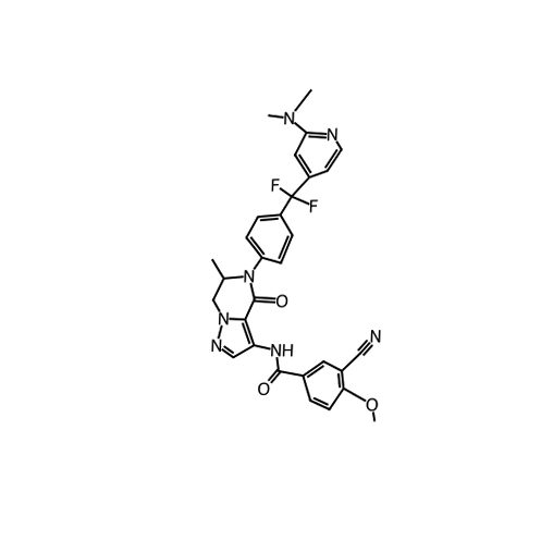 COc1ccc(C(=O)Nc2cnn3c2C(=O)N(c2ccc(C(F)(F)c4ccnc(N(C)C)c4)cc2)C(C)C3)cc1C#N